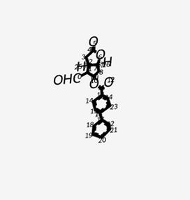 O=CC1[C@H]2CC(=O)O[C@H]2C[C@H]1OC(=O)c1ccc(-c2ccccc2)cc1